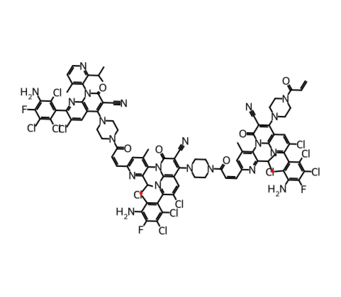 C=CC(=O)N1CCN(c2c(C#N)c(=O)n(-c3c(C)cc(/C=C\C(=O)N4CCN(c5c(C#N)c(=O)n(-c6c(C)cc(/C=C\C(=O)N7CCN(c8c(C#N)c(=O)n(-c9c(C)ccnc9C(C)C)c9nc(-c%10c(Cl)c(N)c(F)c(Cl)c%10Cl)c(Cl)cc89)CC7)nc6C(C)C)c6nc(-c7c(Cl)c(N)c(F)c(Cl)c7Cl)c(Cl)cc56)CC4)nc3C(C)C)c3nc(-c4c(Cl)c(N)c(F)c(Cl)c4Cl)c(Cl)cc23)CC1